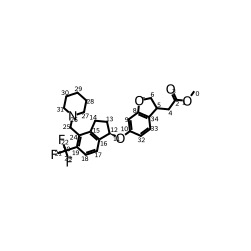 COC(=O)CC1COc2cc(O[C@@H]3CCc4c3ccc(C(F)(F)F)c4CN3CCCCC3)ccc21